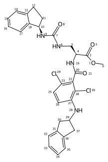 COC(=O)[C@H](CNC(=O)N[C@@H]1CCc2ccccc21)NC(=O)c1c(Cl)ccc(NC2Cc3ccccc3C2)c1Cl